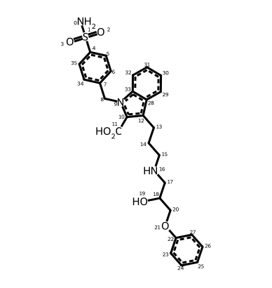 NS(=O)(=O)c1ccc(Cn2c(C(=O)O)c(CCCNCC(O)COc3ccccc3)c3ccccc32)cc1